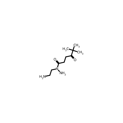 CC(C)(C)C(=O)CCC(=O)N(N)CCN